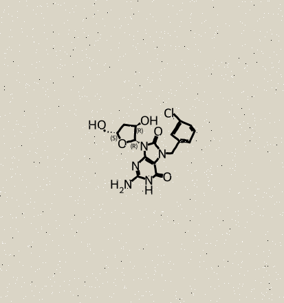 Nc1nc2c(c(=O)[nH]1)n(Cc1cccc(Cl)c1)c(=O)n2[C@@H]1O[C@H](CO)C[C@H]1O